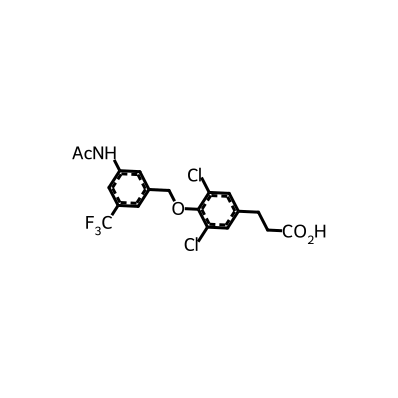 CC(=O)Nc1cc(COc2c(Cl)cc(CCC(=O)O)cc2Cl)cc(C(F)(F)F)c1